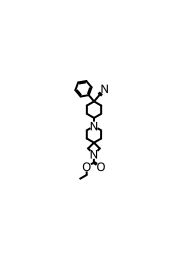 CCOC(=O)N1CC2(CCN(C3CCC(C#N)(c4ccccc4)CC3)CC2)C1